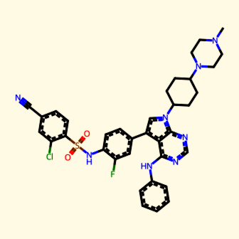 CN1CCN(C2CCC(n3cc(-c4ccc(NS(=O)(=O)c5ccc(C#N)cc5Cl)c(F)c4)c4c(Nc5ccccc5)ncnc43)CC2)CC1